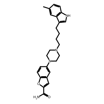 Cc1ccc2[nH]cc(CCCCN3CCN(c4ccc5oc(C(N)=O)cc5c4)CC3)c2c1